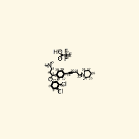 CN(C)CCC(Oc1ccc(Cl)c(Cl)c1)c1ccc(C#CCCN2CCCCC2)cc1.O=C(O)C(F)(F)F